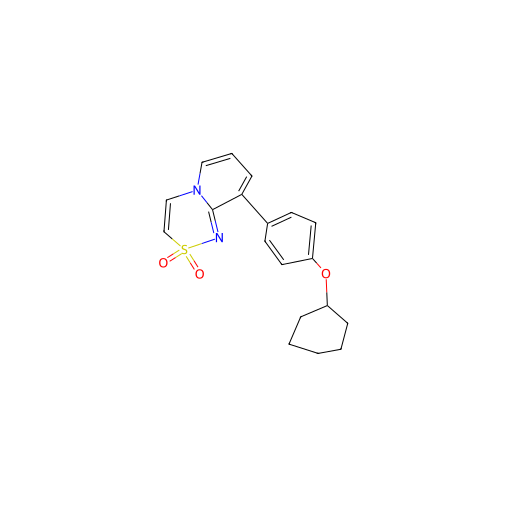 O=S1(=O)C=CN2C=CC=C(c3ccc(OC4CCCCC4)cc3)C2=N1